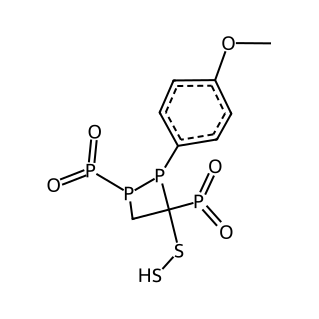 COc1ccc(P2P(P(=O)=O)CC2(SS)P(=O)=O)cc1